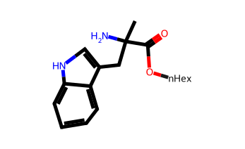 CCCCCCOC(=O)C(C)(N)Cc1c[nH]c2ccccc12